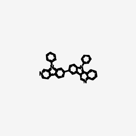 c1ccc(-n2c3cnccc3c3ccc(-c4ccc5c(c4)c4cnc6ccccc6c4n5-c4ccccc4)cc32)cc1